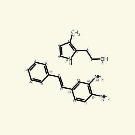 Cc1cc[nH]c1CCO.Nc1ccc(C=Cc2ccccc2)cc1N